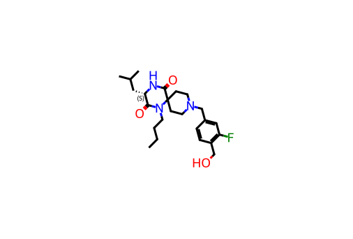 CCCCN1C(=O)[C@H](CC(C)C)NC(=O)C12CCN(Cc1ccc(CO)c(F)c1)CC2